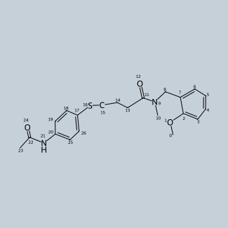 COc1ccccc1CN(C)C(=O)CCCSc1ccc(NC(C)=O)cc1